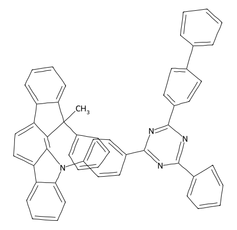 CC1(c2ccccc2)c2ccccc2-c2ccc3c4ccccc4n(-c4ccc(-c5nc(-c6ccccc6)nc(-c6ccc(-c7ccccc7)cc6)n5)cc4)c3c21